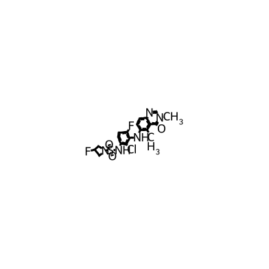 Cc1c(Nc2c(F)ccc(NS(=O)(=O)N3CC(F)C3)c2Cl)ccc2ncn(C)c(=O)c12